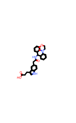 O=C(O)CCc1c[nH]c2ccc(CC(=O)NC(c3ccccc3)c3ccccc3N3CCOCC3)cc12